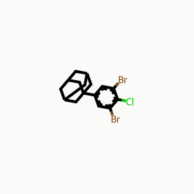 Clc1c(Br)cc(C23CC4CC(CC(C4)C2)C3)cc1Br